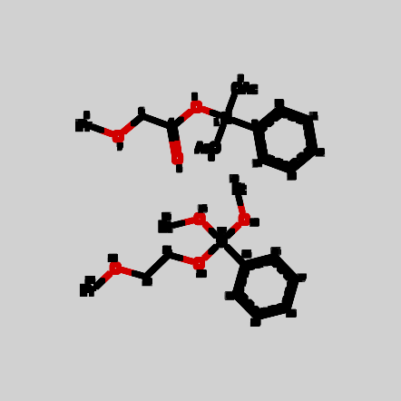 CC(=O)O[Si](OC(C)=O)(OC(=O)COC(C)C)c1ccccc1.CCO[Si](OCC)(OCCOC(C)C)c1ccccc1